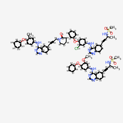 CC(C#Cc1ccc2ncnc(Nc3ccc(Oc4ccccc4)c(Cl)c3)c2c1)NS(C)(=O)=O.COc1cc(Nc2ncnc3ccc(C#CC(C)NS(C)(=O)=O)cc23)ccc1Oc1ccccc1.Cc1cc(Nc2ncnc3ccc(C#CCN4CCCCC4=O)cc23)ccc1Oc1ccccc1